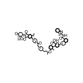 Cc1c(OC(C)CCC2CCN(CC(=O)N3CCN(c4cc5c(cc4F)C(=O)N(C4CCC(=O)NC4=O)C5=O)CC3)CC2)cccc1-c1ccc(N2CCc3cccc(C(=O)Nc4nc5ccccc5s4)c3C2)nc1C(=O)O